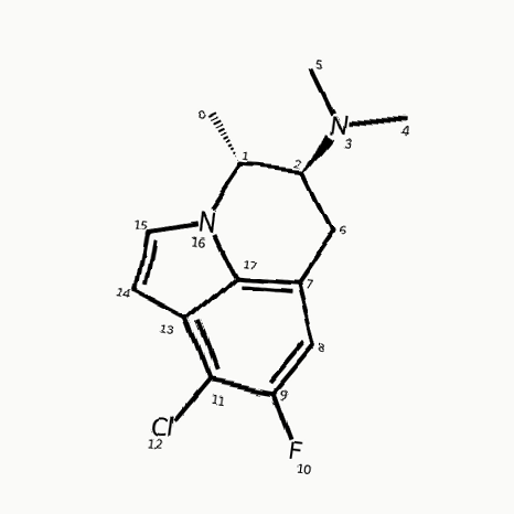 C[C@@H]1[C@@H](N(C)C)Cc2cc(F)c(Cl)c3ccn1c23